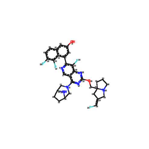 Oc1cc(-c2ncc3c(N4CC5CCC(C4)N5)nc(OCC45CCCN4CC(=CF)C5)nc3c2F)c2c(F)c(F)ccc2c1